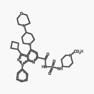 O=C(NS(=O)(=O)NC1CCN(C(=O)O)CC1)c1cc(N2CCC(N3CCOCC3)CC2)c2c(C3CCC3)nn(-c3ccccc3)c2n1